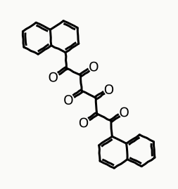 O=C(C(=O)C(=O)C(=O)c1cccc2ccccc12)C(=O)C(=O)c1cccc2ccccc12